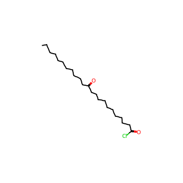 CCCCCCCCCCCC(=O)CCCCCCCCCCC(=O)Cl